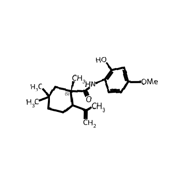 C=C(C)C1CCC(C)(C)C[C@]1(C)C(=O)Nc1ccc(OC)cc1O